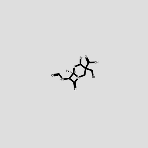 O=CNC1C(=O)N2CC(CBr)(C(=O)O)C(Br)S[C@H]12